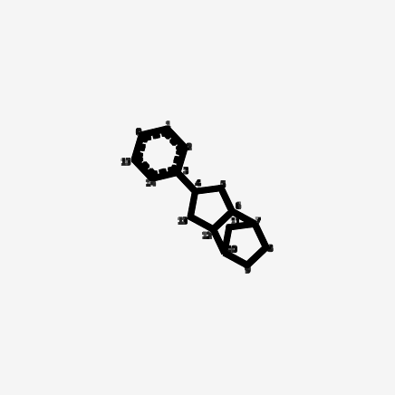 c1ccc(C2CC3C4CCC(C4)C3C2)cc1